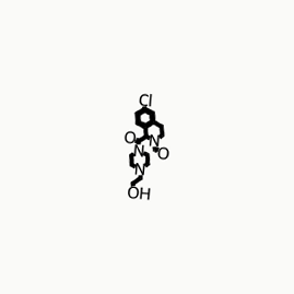 O=CN1CCc2cc(Cl)ccc2C1C(=O)N1CCN(CCO)CC1